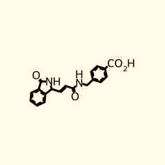 O=C(C=CC1NC(=O)c2ccccc21)NCc1ccc(C(=O)O)cc1